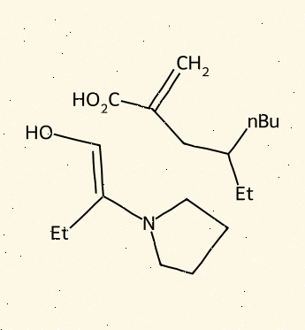 C=C(CC(CC)CCCC)C(=O)O.CC/C(=C\O)N1CCCC1